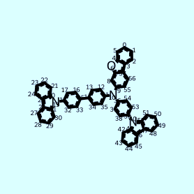 c1ccc2c(c1)oc1cc(N(c3ccc(-c4ccc(-n5c6ccccc6c6ccccc65)cc4)cc3)c3ccc(-n4c5ccccc5c5ccccc54)cc3)ccc12